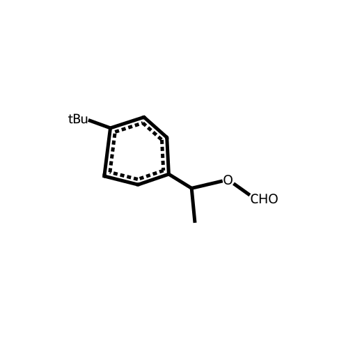 CC(OC=O)c1ccc(C(C)(C)C)cc1